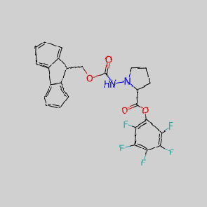 O=C(NN1CCCC1C(=O)Oc1c(F)c(F)c(F)c(F)c1F)OCC1c2ccccc2-c2ccccc21